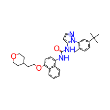 Cc1ccc(C(C)(C)C)cc1-n1nccc1NC(=O)Nc1ccc(OCCC2CCOCC2)c2ccccc12